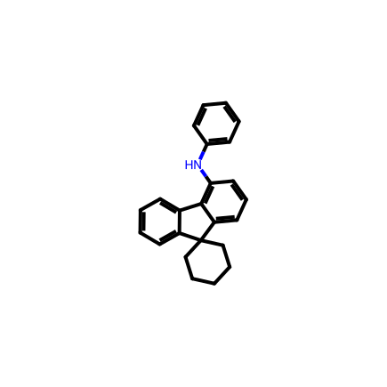 c1ccc(Nc2cccc3c2-c2ccccc2C32CCCCC2)cc1